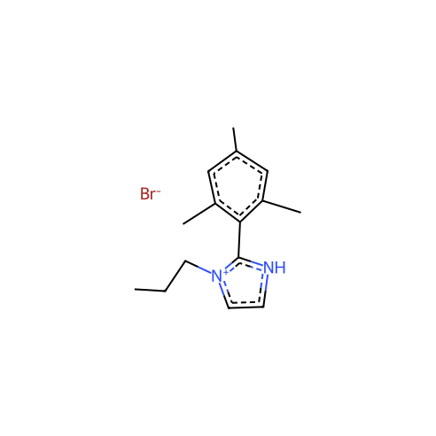 CCC[n+]1cc[nH]c1-c1c(C)cc(C)cc1C.[Br-]